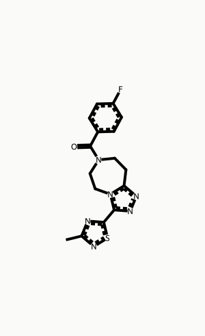 Cc1nsc(-c2nnc3n2CCN(C(=O)c2ccc(F)cc2)CC3)n1